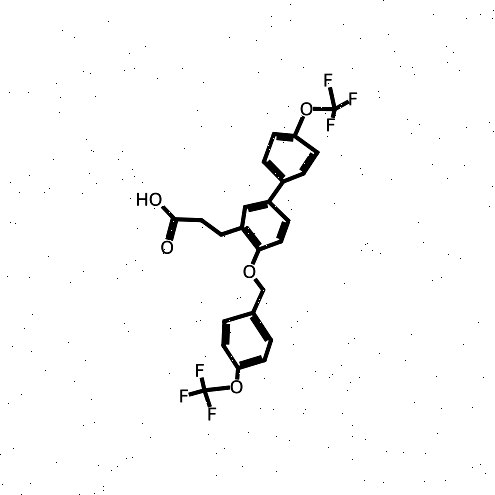 O=C(O)CCc1cc(-c2ccc(OC(F)(F)F)cc2)ccc1OCc1ccc(OC(F)(F)F)cc1